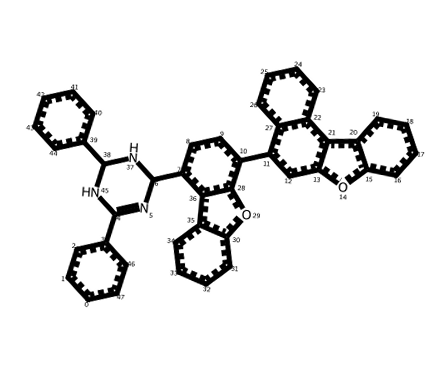 c1ccc(C2=NC(c3ccc(-c4cc5oc6ccccc6c5c5ccccc45)c4oc5ccccc5c34)NC(c3ccccc3)N2)cc1